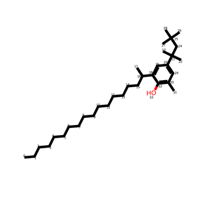 CCCCCCCCCCCCCCCCC(C)c1cc(C(C)(C)CC(C)(C)C)cc(C)c1O